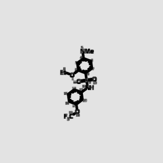 CCOc1cc(NC)ccc1S(=O)(=O)Nc1cccc(OC(F)(F)F)c1